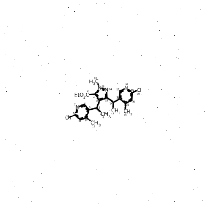 CCOC(=O)c1c(C(C)c2cnc(Cl)cc2C)c(C(C)c2cnc(Cl)cc2C)nn1C